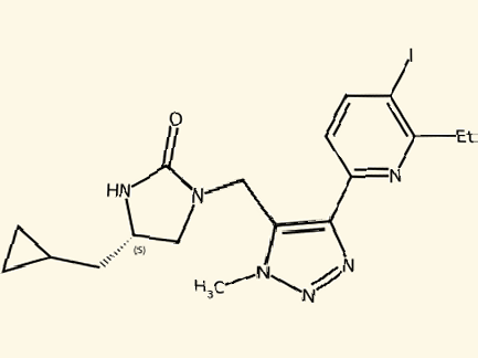 CCc1nc(-c2nnn(C)c2CN2C[C@H](CC3CC3)NC2=O)ccc1I